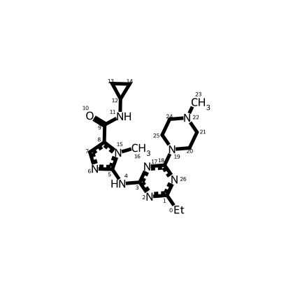 CCc1nc(Nc2ncc(C(=O)NC3CC3)n2C)nc(N2CCN(C)CC2)n1